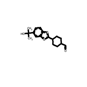 CC(C)(O)c1ccc2sc(C3CCC(C=O)CC3)nc2c1